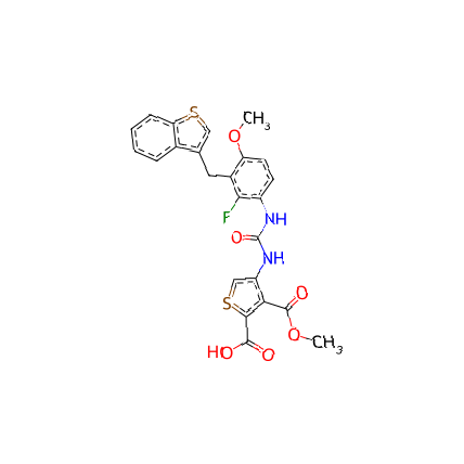 COC(=O)c1c(NC(=O)Nc2ccc(OC)c(Cc3csc4ccccc34)c2F)csc1C(=O)O